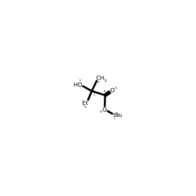 CCC(C)(O)C(=O)OC(C)(C)C